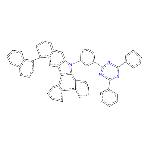 c1ccc(-c2nc(-c3ccccc3)nc(-c3cccc(-n4c5cc6cccc(-c7cccc8ccccc78)c6cc5c5c6ccccc6c6ccccc6c54)c3)n2)cc1